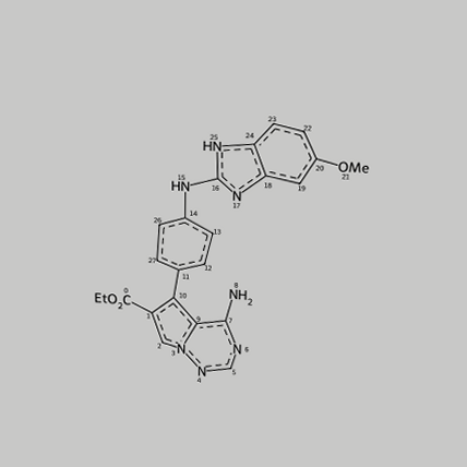 CCOC(=O)c1cn2ncnc(N)c2c1-c1ccc(Nc2nc3cc(OC)ccc3[nH]2)cc1